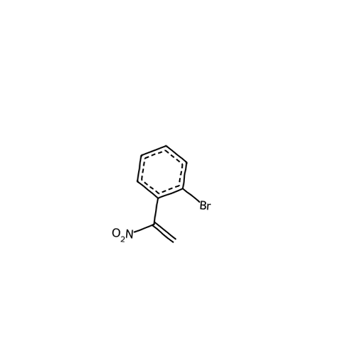 C=C(c1ccccc1Br)[N+](=O)[O-]